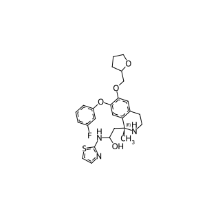 C[C@]1(CC(O)Nc2nccs2)NCCc2cc(OCC3CCCO3)c(Oc3cccc(F)c3)cc21